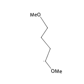 CO[CH]CCCOC